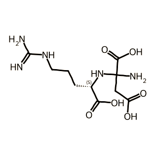 N=C(N)NCCC[C@H](NC(N)(CC(=O)O)C(=O)O)C(=O)O